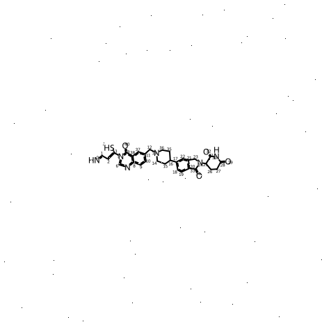 N=C/C=C(\S)n1cnc2ccc(CN3CCC(c4ccc5c(c4)CN(C4CCC(=O)NC4=O)C5=O)CC3)cc2c1=O